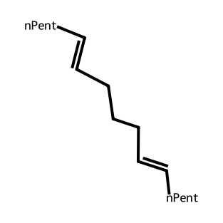 [CH2]CCCC/C=C/CCC/C=C/CCCCC